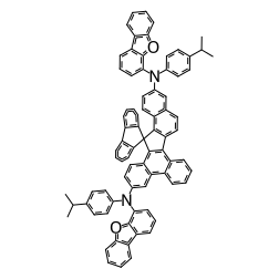 CC(C)c1ccc(N(c2ccc3c4c(ccc3c2)-c2c(c3ccc(N(c5ccc(C(C)C)cc5)c5cccc6c5oc5ccccc56)cc3c3ccccc23)C42c3ccccc3-c3ccccc32)c2cccc3c2oc2ccccc23)cc1